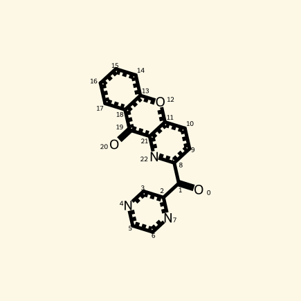 O=C(c1cnccn1)c1ccc2oc3ccccc3c(=O)c2n1